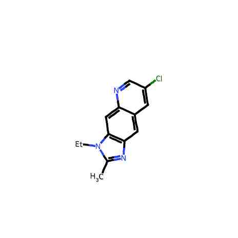 CCn1c(C)nc2cc3cc(Cl)cnc3cc21